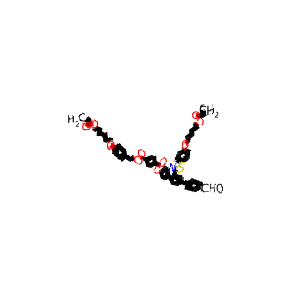 C=CC(=O)OCCCCCCOc1ccc(CCOC(=O)C2CCC(C(=O)Oc3ccc4c(c3)nc(SC3CCC(OCCCCCCOC(=O)C=C)CC3)c3cc(C5CCC(C=O)CC5)ccc34)CC2)cc1